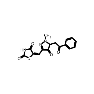 CN1N=C(C=C2SC(=O)NC2=O)C(=O)C1CC(=O)c1ccccc1